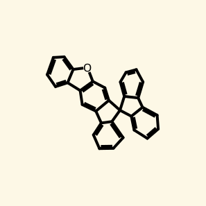 c1ccc2c(c1)-c1ccccc1C21c2ccccc2-c2cc3c(cc21)oc1ccccc13